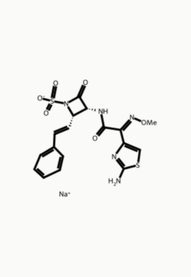 CON=C(C(=O)N[C@H]1C(=O)N(S(=O)(=O)[O-])[C@H]1C=Cc1ccccc1)c1csc(N)n1.[Na+]